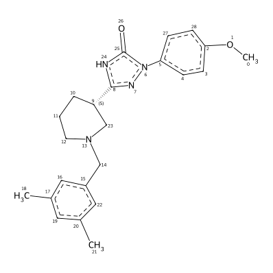 COc1ccc(-n2nc([C@H]3CCCN(Cc4cc(C)cc(C)c4)C3)[nH]c2=O)cc1